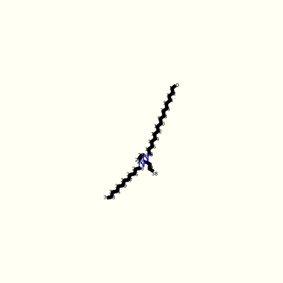 CCCCCCCCCCCCCCCCCCC[n+]1ccn(CCCCCCCCCCCC)c1CCC